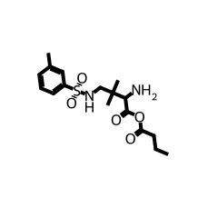 CCCC(=O)OC(=O)C(N)C(C)(C)CNS(=O)(=O)c1cccc(C)c1